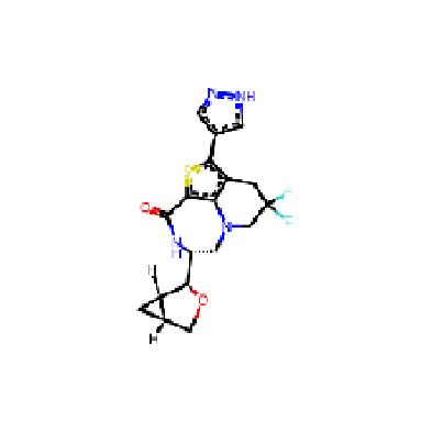 O=C1N[C@@H]([C@H]2OC[C@@H]3C[C@@H]32)CN2CC(F)(F)Cc3c(-c4cn[nH]c4)sc1c32